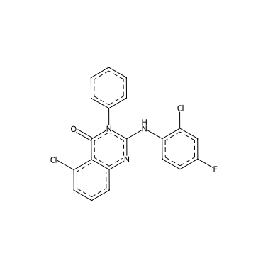 O=c1c2c(Cl)cccc2nc(Nc2ccc(F)cc2Cl)n1-c1ccccc1